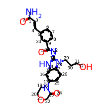 NC(=O)/C=C/c1cccc(C(=O)/N=c2\[nH]c3cc(N4CCOCC4=O)ccc3n2CCCO)c1